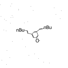 CCCC/C=C/c1cc([O])cc(/C=C/CCCC)c1